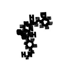 NCC1CCC(CNc2nc(NCCc3ccccc3Cl)ncc2[N+](=O)[O-])CC1